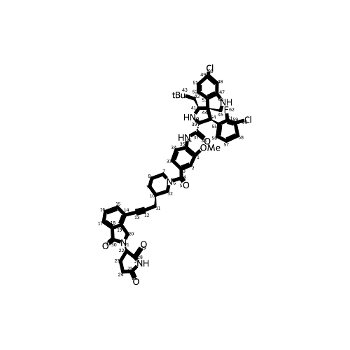 COc1cc(C(=O)N2CCC[C@H](CC#Cc3cccc4c3CN([C@H]3CCC(=O)NC3=O)C4=O)C2)ccc1NC(=O)[C@@H]1N[C@@H](CC(C)(C)C)[C@@]2(CNc3cc(Cl)ccc32)[C@H]1c1cccc(Cl)c1F